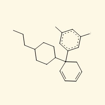 CCCC1CCC(C2(c3cc(F)cc(F)c3)C=CC=CC2)CC1